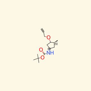 C#CCOC1C[C@H](NC(=O)OC(C)(C)C)C[C@@H]1C